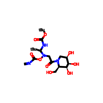 C=NC(=O)ON(CC(=O)N1C[C@H](O)[C@@H](O)[C@H](O)[C@H]1CO)C(NC(=O)OC(C)(C)C)C(C)(C)C